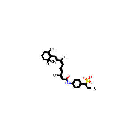 CCC(c1ccc(NC(=O)C=C(C)C=CC=C(C)C=CC2=C(C)CCCC2(C)C)cc1)S(=O)(=O)O